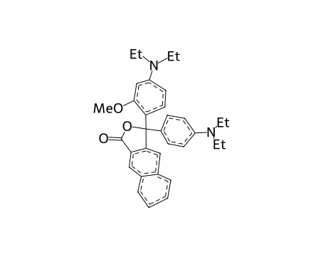 CCN(CC)c1ccc(C2(c3ccc(N(CC)CC)cc3OC)OC(=O)c3cc4ccccc4cc32)cc1